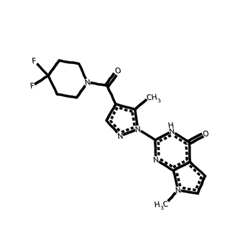 Cc1c(C(=O)N2CCC(F)(F)CC2)cnn1-c1nc2c(ccn2C)c(=O)[nH]1